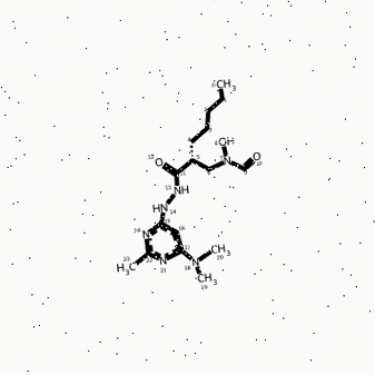 CCCCC[C@H](CN(O)C=O)C(=O)NNc1cc(N(C)C)nc(C)n1